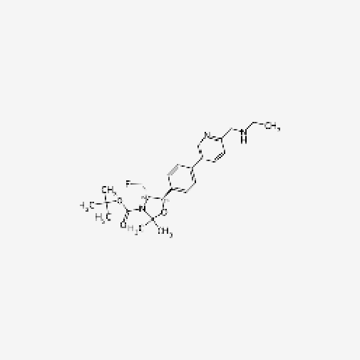 CCNCc1ccc(-c2ccc([C@H]3OC(C)(C)N(C(=O)OC(C)(C)C)[C@@H]3CF)cc2)cn1